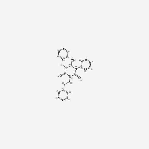 O=C1C(Cc2ccccc2)C(O)N(c2ccccc2)C(=O)N1CCc1ccccc1